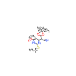 COc1cc(C(C#N)C(=O)OC(C)(C)C)nc(SC)n1